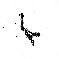 C=CC(=O)OCCOCCOCCOc1ccc(OC(=O)C2CCC(C(=O)Oc3ccc(C4CCC(CCC)CC4)cc3/C=N/N(CCCCCC)c3nc4ccccc4s3)CC2)cc1